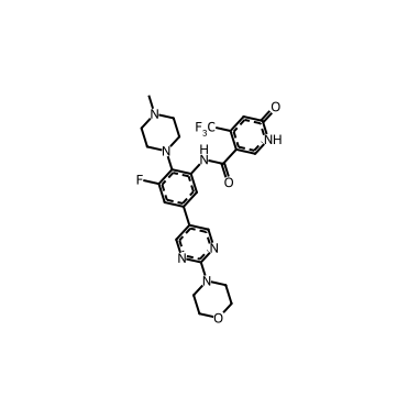 CN1CCN(c2c(F)cc(-c3cnc(N4CCOCC4)nc3)cc2NC(=O)c2c[nH]c(=O)cc2C(F)(F)F)CC1